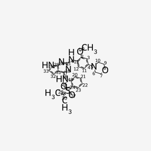 COc1cc(N2CCOCC2)ccc1Nc1nc(Nc2ccccc2S(=O)(=O)C(C)C)c2cc[nH]c2n1